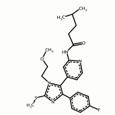 COCCn1c(SC)nc(-c2ccc(F)cc2)c1-c1ccnc(NC(=O)CCC(C)C)c1